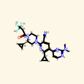 CN(C)c1nccc(-c2cc(C#N)c(N3CCN(C(=O)CC(F)(F)F)[C@H](C4CC4)C3)nc2C2CC2)n1